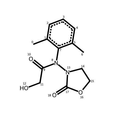 Cc1cccc(C)c1N(C(=O)CO)N1CCOC1=O